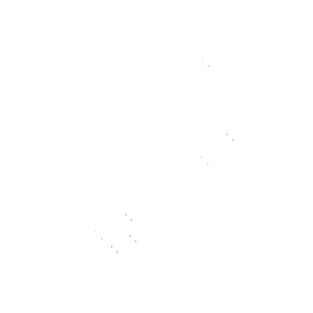 CCCCc1nc(-c2ccncc2)cn1Cc1ccc(-c2ccccc2-c2nnn[nH]2)cc1